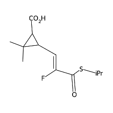 CC(C)SC(=O)C(F)=CC1C(C(=O)O)C1(C)C